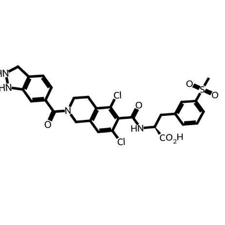 CS(=O)(=O)c1cccc(C[C@H](NC(=O)c2c(Cl)cc3c(c2Cl)CCN(C(=O)c2ccc4c(c2)NNC4)C3)C(=O)O)c1